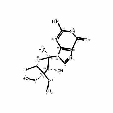 CO[C@@](CO)(CF)[C@@H](O)[C@@](C)(O)n1cnc2c(=O)[nH]c(N)nc21